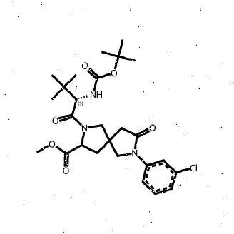 COC(=O)C1CC2(CC(=O)N(c3cccc(Cl)c3)C2)CN1C(=O)[C@@H](NC(=O)OC(C)(C)C)C(C)(C)C